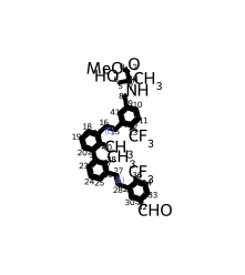 COC(=O)[C@](C)(CO)NCc1ccc(C(F)(F)F)c(/C=C/c2cccc(-c3cccc(/C=C/c4cc(C=O)ccc4C(F)(F)F)c3C)c2C)c1